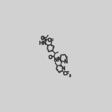 CC(C(=O)NCc1ccc(C(F)(F)F)nc1-c1ncccn1)c1ccc(NS(C)(=O)=O)c(F)c1